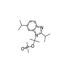 CC(C)c1ccc2nc(C(C)C)n(C(C)(C)OP(C)(C)=O)c2c1